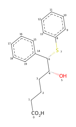 O=C(O)CCC[C@@H](O)[C@@H](Sc1ccccc1)c1ccccc1